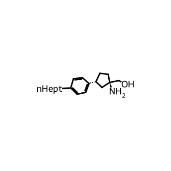 CCCCCCCc1ccc([C@@H]2CC[C@](N)(CO)C2)cc1